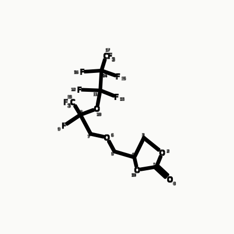 O=C1OCC(COCC(F)(OC(F)(F)C(F)(F)C(F)(F)F)C(F)(F)F)O1